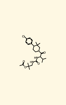 CC(=O)OC(C)(C)CNC(=O)NC(C(=O)N1CCC(c2ccc(Cl)cc2)C(C)(C)C1)C(C)C